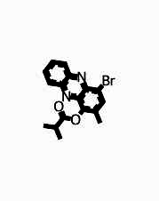 Cc1cc(Br)c2nc3ccccc3nc2c1OC(=O)C(C)C